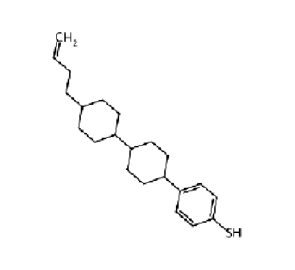 C=CCCC1CCC(C2CCC(c3ccc(S)cc3)CC2)CC1